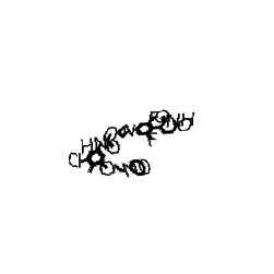 Cc1c(Cl)cc(NC(=O)OC2CN(c3cc(F)c(C4CCC(=O)NC4=O)c(F)c3)C2)cc1OCCN1CCOCC1